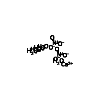 O.O.O.O.O.O=[N+]([O-])[O-].O=[N+]([O-])[O-].[Ca+2]